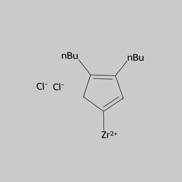 CCCCC1=C(CCCC)C[C]([Zr+2])=C1.[Cl-].[Cl-]